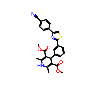 COC(=O)C1=C(C)NC(C)=C(C(=O)OC)C1c1cccc(-c2nc(-c3ccc(C#N)cc3)cs2)c1